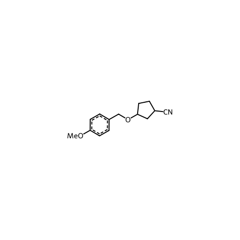 COc1ccc(COC2CCC(C#N)C2)cc1